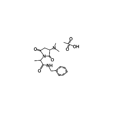 CC(C(=O)NCc1ccccc1)N1C(=O)CC(N(C)C)C1=O.CS(=O)(=O)O